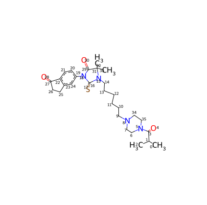 CC(C)C(=O)N1CCN(CCCCCCN2C(=S)N(c3ccc4c(c3)CCC4=O)C(=O)C2(C)C)CC1